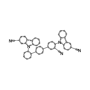 N#Cc1ccc2c(c1)c1ccccc1n2-c1ccc(-c2ccc(-c3ccccc3-n3c4ccccc4c4ccc(C#N)cc43)cc2)cc1C#N